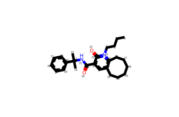 CCCCn1c2c(cc(C(=O)NC(C)(C)c3ccccc3)c1=O)CCCCCC2